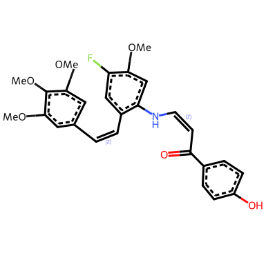 COc1cc(N/C=C\C(=O)c2ccc(O)cc2)c(/C=C\c2cc(OC)c(OC)c(OC)c2)cc1F